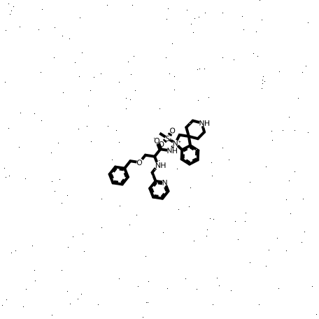 CS(=O)(=O)[N+]1(NC(=O)C(COCc2ccccc2)NCc2ccccn2)CC2(CCNCC2)c2ccccc21